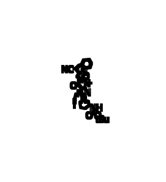 CC#CCn1c(N2CCC[C@@H](NC(=O)OC(C)(C)C)C2)nc2c1c(=O)n(Cc1nc3ccccc3cc1C#N)c(=O)n2C